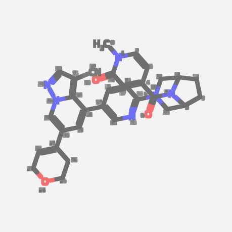 Cn1ccc(C(=O)N2C3CCC2CN(c2ccc(-c4cc(C5=CCOCC5)cn5ncc(C#N)c45)cn2)C3)cc1=O